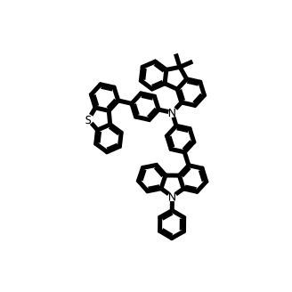 CC1(C)c2ccccc2-c2c(N(c3ccc(-c4cccc5sc6ccccc6c45)cc3)c3ccc(-c4cccc5c4c4ccccc4n5-c4ccccc4)cc3)cccc21